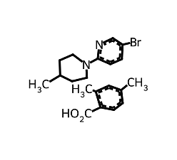 CC1CCN(c2ccc(Br)cn2)CC1.Cc1ccc(C(=O)O)c(C)c1